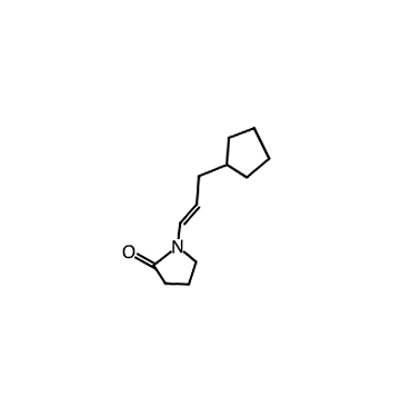 O=C1CCCN1C=CCC1CCCC1